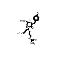 CCCCCCCC(=O)N[C@@H](Cc1ccc(O)cc1)C(=O)N[C@@H](CCCNC(=N)N)CCC(=O)O